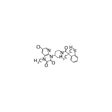 Cn1c(=O)c(=O)n(C2CCN(C(=O)C(C)(C)c3ccccc3F)CC2)c2ncc(Cl)cc21